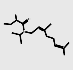 CCC(C)C(=O)N(C/C=C(/C)CCC=C(C)C)C(C)C